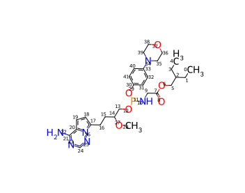 CCC(CC)COC(=O)CNP(OCC(CCc1ccc2c(N)ncnn12)OC)Oc1ccc(N2CCOCC2)cc1